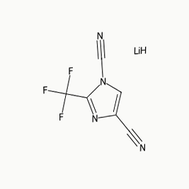 N#Cc1cn(C#N)c(C(F)(F)F)n1.[LiH]